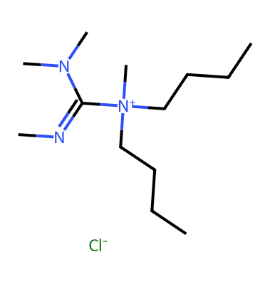 CCCC[N+](C)(CCCC)C(=NC)N(C)C.[Cl-]